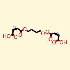 O=C(O)/C=C\C(=O)OCCCCOOC(=O)/C=C\C(=O)O